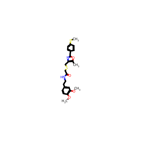 COc1ccc(CCNC(=O)CSCc2nc(-c3ccc(SC)cc3)oc2C)cc1OC